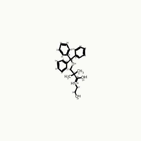 CC(C)(COC(c1ccccc1)(c1ccccc1)c1ccccc1)C(O)=[SH]CCO